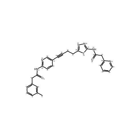 Cc1cccc(CC(=O)Nc2ccc(C#CCCc3nnc(NC(=O)Cc4ccccn4)s3)cn2)c1